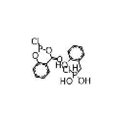 O=C1OP(Cl)Oc2ccccc21.Oc1ccccc1C[PH](O)(O)Cl